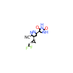 N#Cc1nnc(-c2c[nH]c(=O)[nH]c2=O)cc1[C@H]1C[C@@H]1C=C(F)F